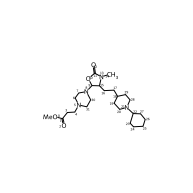 COC(=O)CCN1CCN(C2OC(=O)N(C)C2CCC2CCN(C3CCCCC3)CC2)CC1